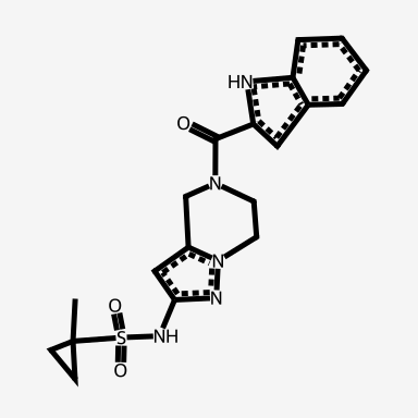 CC1(S(=O)(=O)Nc2cc3n(n2)CCN(C(=O)c2cc4ccccc4[nH]2)C3)CC1